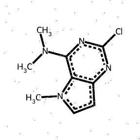 CN(C)c1nc(Cl)nc2ccn(C)c12